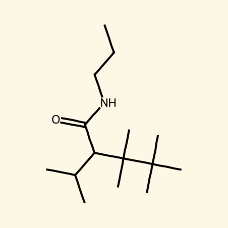 CCCNC(=O)C(C(C)C)C(C)(C)C(C)(C)C